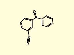 N#Cc1cccc(C(=O)c2cc[c]cc2)c1